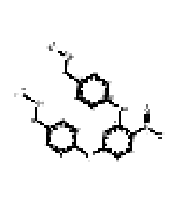 O=[N+]([O-])c1ccc(Oc2ccc(CNO)cc2)cc1Oc1ccc(CNO)cc1